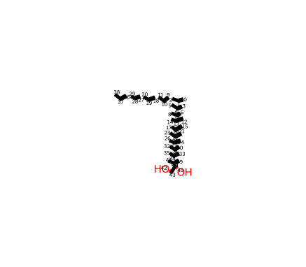 C=CC.C=CC.C=CC.C=CC.C=CC.C=CC.C=CC.C=CC.C=CC.C=CC.C=CC.C=CC.C=CC.C=CC.OCCO